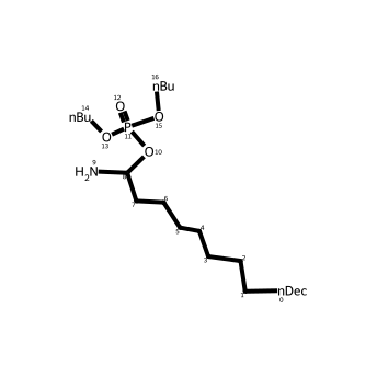 CCCCCCCCCCCCCCCCCC(N)OP(=O)(OCCCC)OCCCC